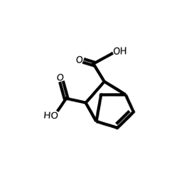 O=C(O)C1C2C=CC(C2)C1C(=O)O